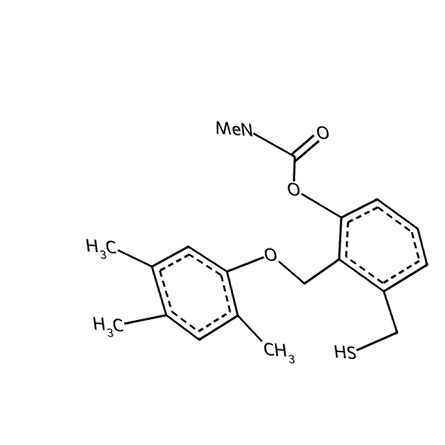 CNC(=O)Oc1cccc(CS)c1COc1cc(C)c(C)cc1C